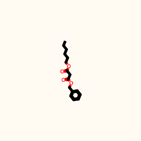 CCCCCCOC(=O)CC(=O)OCc1ccccc1